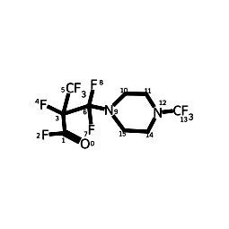 O=C(F)C(F)(C(F)(F)F)C(F)(F)N1CCN(C(F)(F)F)CC1